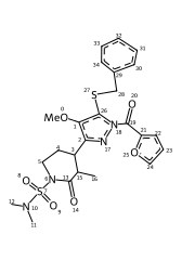 COc1c(C2CCN(S(=O)(=O)N(C)C)C(=O)C2C)nn(C(=O)c2ccco2)c1SCc1ccccc1